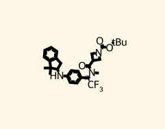 CN(C(=O)C1CN(C(=O)OC(C)(C)C)C1)[C@@H](c1ccc(NC2Cc3ccccc3C2(C)C)cc1)C(F)(F)F